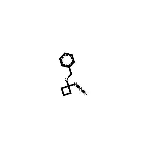 [N-]=[N+]=NC1(OCc2ccccc2)CCC1